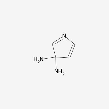 NC1(N)C=CN=C1